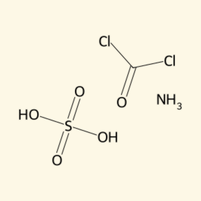 N.O=C(Cl)Cl.O=S(=O)(O)O